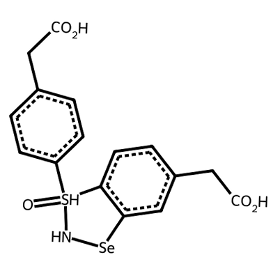 O=C(O)Cc1ccc([SH]2(=O)N[Se]c3cc(CC(=O)O)ccc32)cc1